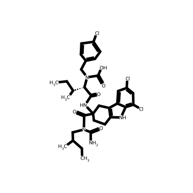 CCC(C)CN(C(N)=O)C(=O)C1(NC(=O)[C@H](C(C)CC)N(Cc2ccc(Cl)cc2)C(=O)O)CCc2[nH]c3c(Cl)cc(Cl)cc3c2C1